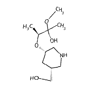 COC(C)(O)[C@H](C)O[C@@H]1CNC[C@H](CO)C1